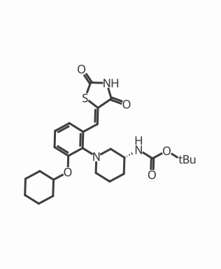 CC(C)(C)OC(=O)N[C@@H]1CCCN(c2c(/C=C3\SC(=O)NC3=O)cccc2OC2CCCCC2)C1